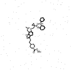 CN(C)Cc1c(OCC2(C(O[SiH](c3ccccc3)c3ccccc3)C(C)(C)C)CC2)ccc2c(CCC3CCN(C(=O)OC(C)(C)C)CC3)noc12